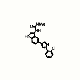 CNC(=O)Nc1c[nH]c2ccc(-c3cnn(-c4ccccc4Cl)c3)cc12